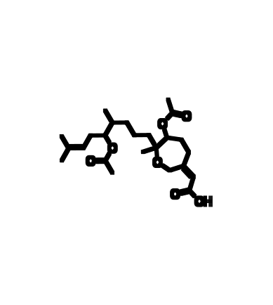 CC(=O)OC(CC=C(C)C)C(C)CCCC1(C)OCC(=CC(=O)O)CCC1OC(C)=O